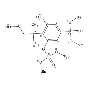 Cc1cc(P(=O)(OC(C)C)OC(C)C)cc(OP(=O)(OC(C)(C)C)OC(C)(C)C)c1C(C)(C)CCO